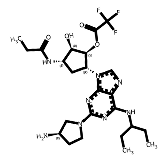 CCC(=O)N[C@H]1C[C@@H](n2cnc3c(NC(CC)CC)nc(N4CC[C@@H](N)C4)nc32)[C@H](OC(=O)C(F)(F)F)[C@@H]1O